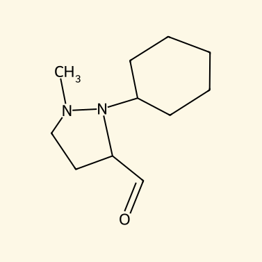 CN1CCC(C=O)N1C1CCCCC1